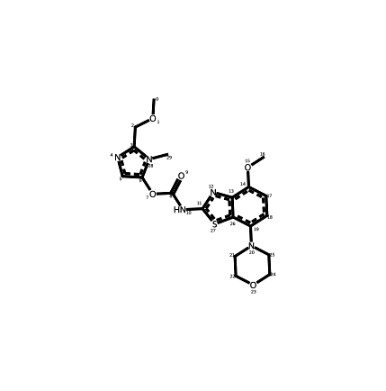 COCc1ncc(OC(=O)Nc2nc3c(OC)ccc(N4CCOCC4)c3s2)n1C